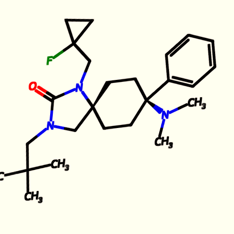 CN(C)[C@]1(c2ccccc2)CC[C@@]2(CC1)CN(CC(C)(C)C#N)C(=O)N2CC1(F)CC1